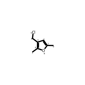 Cc1cc(CCl)c(C)o1